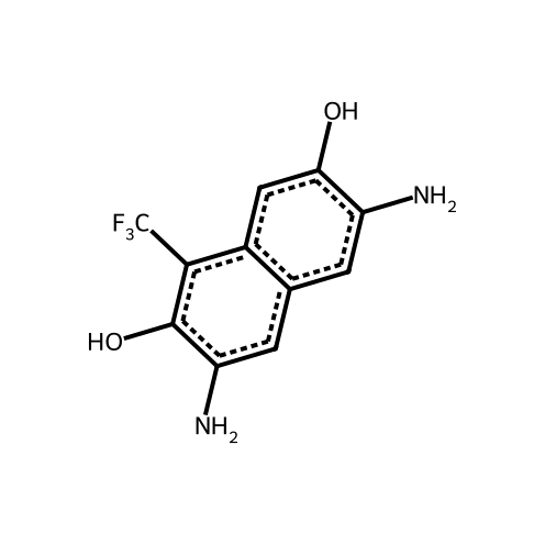 Nc1cc2cc(N)c(O)c(C(F)(F)F)c2cc1O